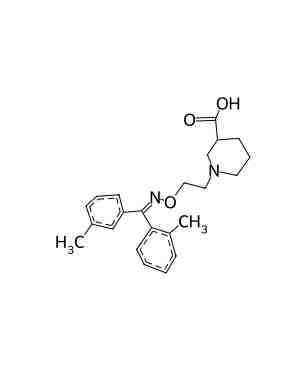 Cc1cccc(/C(=N/OCCN2CCCC(C(=O)O)C2)c2ccccc2C)c1